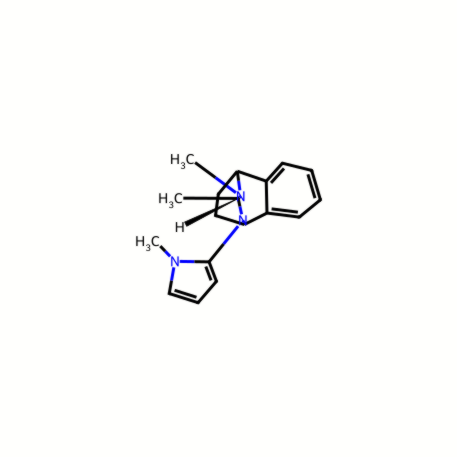 C[C@H]1N(C)C2CCC(c3ccccc32)N1c1cccn1C